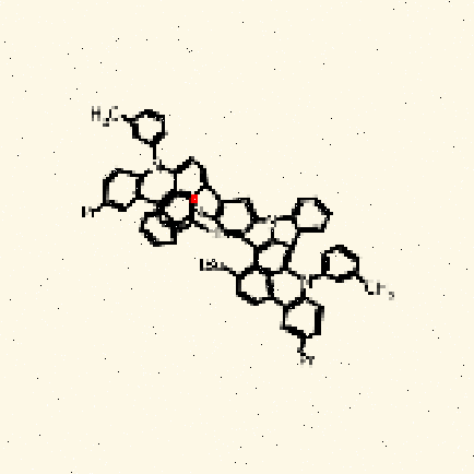 Cc1cccc(N(c2ccc(C(C)C)cc2-c2ccc(C(C)(C)C)cc2)c2ccc3c4cc5c(cc4n4c6ccccc6c2c34)c2ccc(N(c3cccc(C)c3)c3ccc(C(C)C)cc3-c3ccc(C(C)(C)C)cc3)c3c4ccccc4n5c23)c1